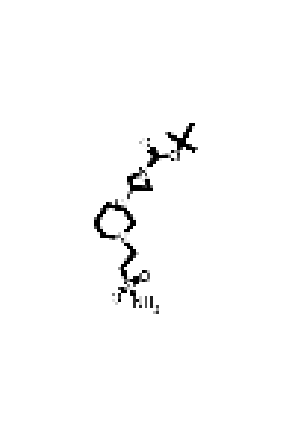 CC(C)(C)OC(=O)N1CC([C@H]2CCCN(CCS(N)(=O)=O)C2)C1